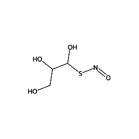 O=NSC(O)C(O)CO